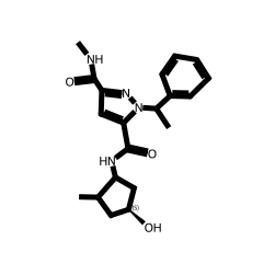 CNC(=O)c1cc(C(=O)NC2C[C@@H](O)CC2C)n(C(C)c2ccccc2)n1